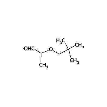 CC([C]=O)OCC(C)(C)C